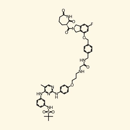 Cc1cnc(Nc2ccc(OCCCNCC(=O)NCc3ccc(COc4cc(F)cc5c4CN(C(=O)[C@H]4CCCC(=O)NC4=O)C5)cc3)cc2)nc1Nc1cccc(NS(=O)(=O)C(C)(C)C)c1